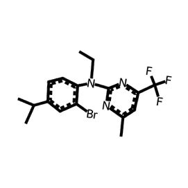 CCN(c1nc(C)cc(C(F)(F)F)n1)c1ccc(C(C)C)cc1Br